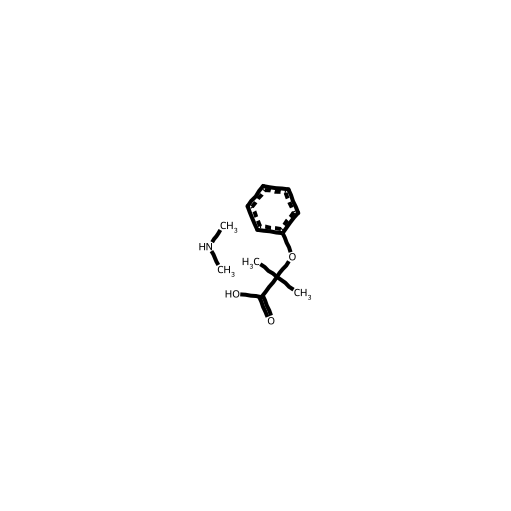 CC(C)(Oc1ccccc1)C(=O)O.CNC